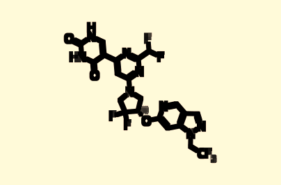 O=c1[nH]cc(-c2cc(N3C[C@H](Oc4cc5c(cn4)cnn5CC(F)(F)F)C(F)(F)C3)nc(C(F)F)n2)c(=O)[nH]1